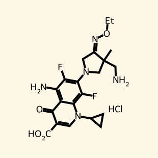 CCON=C1CN(c2c(F)c(N)c3c(=O)c(C(=O)O)cn(C4CC4)c3c2F)CC1(C)CN.Cl